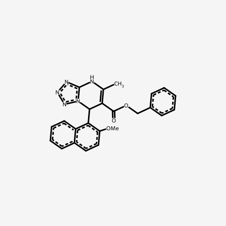 COc1ccc2ccccc2c1C1C(C(=O)OCc2ccccc2)=C(C)Nc2nnnn21